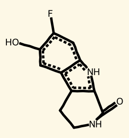 O=C1NCCc2c1[nH]c1cc(F)c(O)cc21